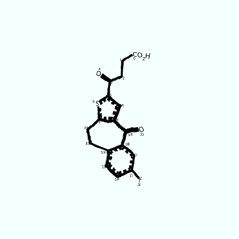 O=C(O)CCC(=O)c1cc2c(s1)CCc1ccc(F)cc1C2=O